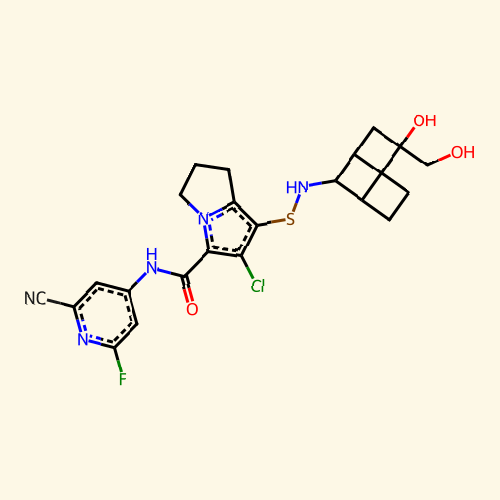 N#Cc1cc(NC(=O)c2c(Cl)c(SNC3C4CCC45C3CC5(O)CO)c3n2CCC3)cc(F)n1